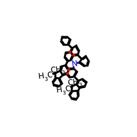 CC1(C)c2ccccc2-c2ccc(-c3ccccc3N(c3cccc(-c4cccc5c4C(C)(C)c4ccccc4-5)c3)c3ccccc3-c3ccc(-c4ccccc4)cc3)cc21